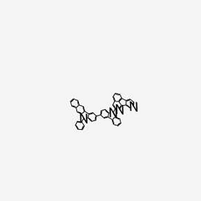 c1ccc(-n2c3ccc(-c4ccc5c(c4)c4ccccc4n5-c4cc5cccc6c5c(n4)-c4cnccc4-6)cc3c3cc4ccccc4cc32)cc1